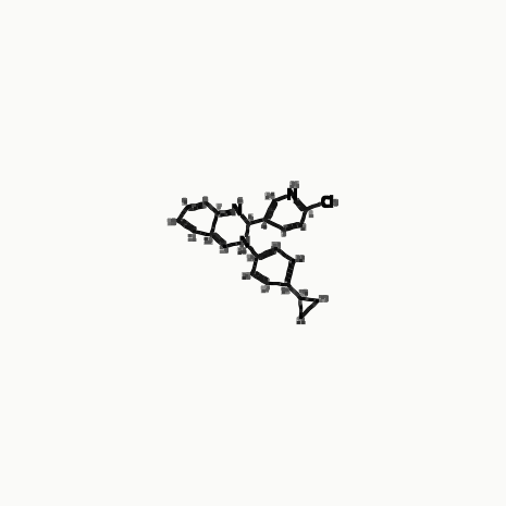 Clc1ccc(C2N=c3ccccc3=CN2c2ccc(C3CC3)cc2)cn1